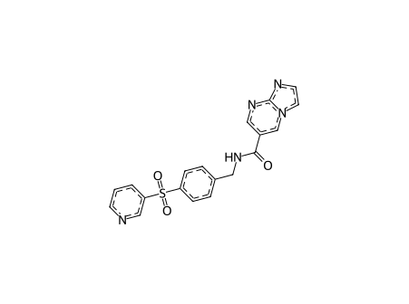 O=C(NCc1ccc(S(=O)(=O)c2cccnc2)cc1)c1cnc2nccn2c1